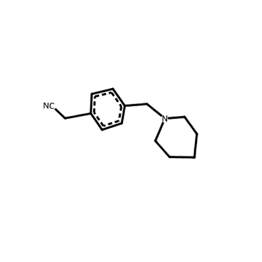 N#CCc1ccc(CN2CCCCC2)cc1